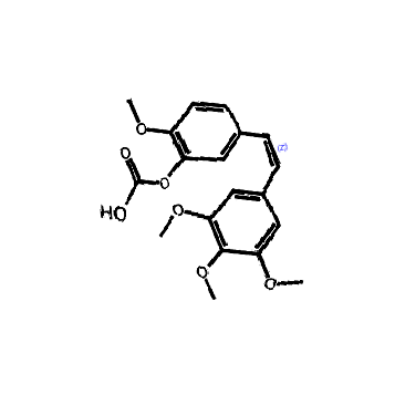 COc1ccc(/C=C\c2cc(OC)c(OC)c(OC)c2)cc1OC(=O)O